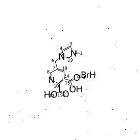 Br.CN1C=CN(Cc2cnc(C(=O)O)c(C(=O)O)c2)C1